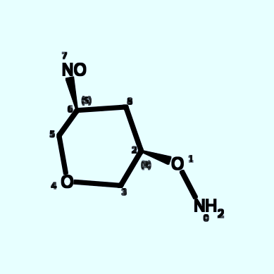 NO[C@H]1COC[C@@H](N=O)C1